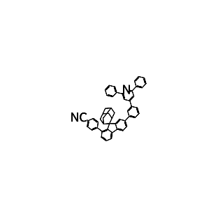 N#Cc1ccc(-c2cccc3c2C2(c4cc(-c5cccc(-c6cc(-c7ccccc7)nc(-c7ccccc7)c6)c5)ccc4-3)C3CC4CC(C3)CC2C4)cc1